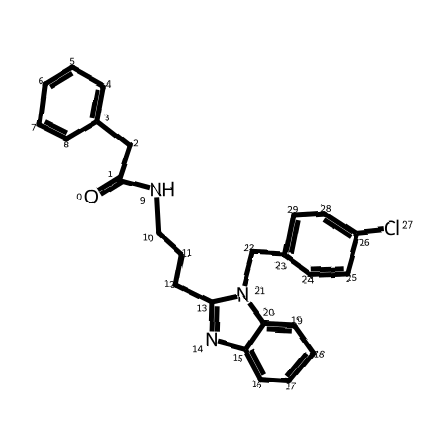 O=C(Cc1ccccc1)NCCCc1nc2ccccc2n1Cc1ccc(Cl)cc1